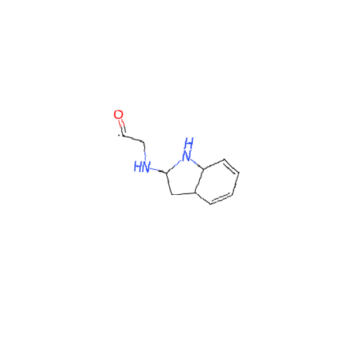 O=[C]CNC1CC2C=CC=CC2N1